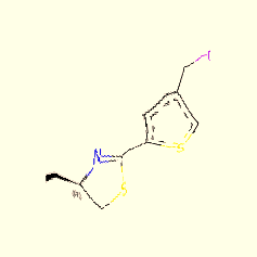 C[C@@H]1CSC(c2cc(CI)cs2)=N1